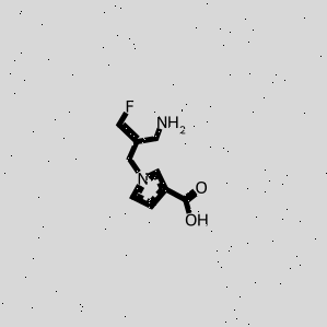 NC/C(=C\F)Cn1ccc(C(=O)O)c1